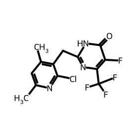 Cc1cc(C)c(Cc2nc(C(F)(F)F)c(F)c(=O)[nH]2)c(Cl)n1